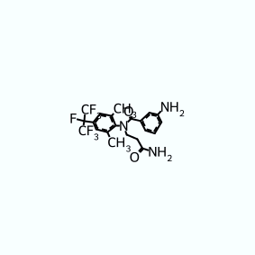 Cc1cc(C(F)(C(F)(F)F)C(F)(F)F)cc(C)c1N(CCC(N)=O)C(=O)c1cccc(N)c1